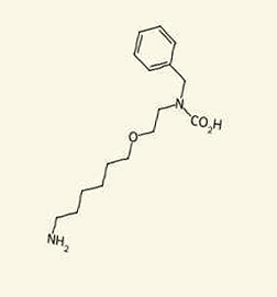 NCCCCCCOCCN(Cc1ccccc1)C(=O)O